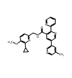 COc1ccc(CNC(=O)c2cc(-c3cncc(C)c3)cnc2-c2ccccn2)nc1C1CC1